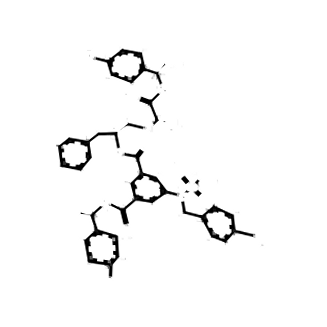 C[C@H](NC[C@H](Cc1ccccc1)NC(=O)c1cc(C(=O)N[C@H](C)c2ccc(Br)cc2)cc(N(Cc2ccc(Br)cc2)S(C)(=O)=O)c1)C(=O)N[C@H](C)c1ccc(N)cc1